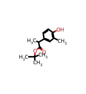 Cc1cc(C(C)C(=O)OC(C)(C)C)ccc1O